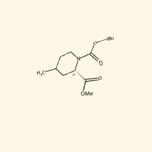 COC(=O)[C@@H]1CC(C)CCN1C(=O)OC(C)(C)C